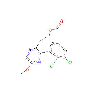 COc1cnc(CCOC=O)c(-c2cccc(Cl)c2Cl)n1